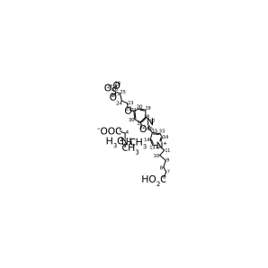 C[N+](C)(C)CC(=O)[O-].O=C(O)CCCCC[n+]1ccc(-c2nc3ccc(OCCCS(=O)(=O)[O-])cc3o2)cc1